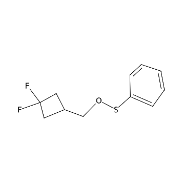 FC1(F)CC(COSc2ccccc2)C1